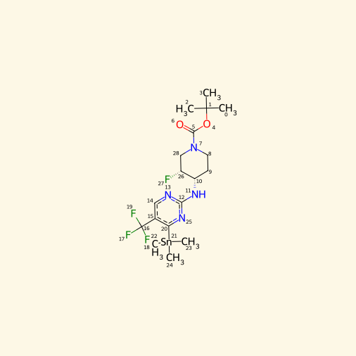 CC(C)(C)OC(=O)N1CC[C@H](Nc2ncc(C(F)(F)F)[c]([Sn]([CH3])([CH3])[CH3])n2)[C@H](F)C1